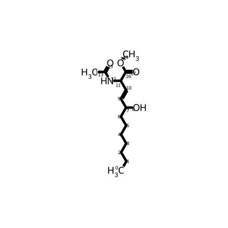 CCCCCCCC(O)/C=C/C(NC(C)=O)C(=O)OC